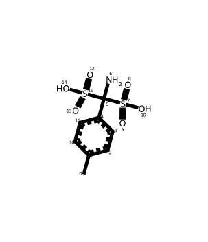 Cc1ccc(C(N)(S(=O)(=O)O)S(=O)(=O)O)cc1